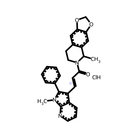 CC1c2cc3c(cc2CCN1C(=O)/C=C/c1c(-c2ccccc2)n(C)c2ncccc12)OCO3.Cl